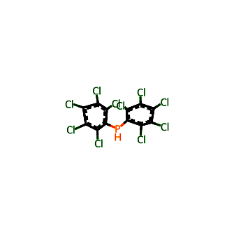 Clc1c(Cl)c(Cl)c(Pc2c(Cl)c(Cl)c(Cl)c(Cl)c2Cl)c(Cl)c1Cl